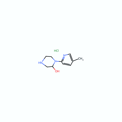 Cc1ccc(N2CCNCC2O)nc1.Cl